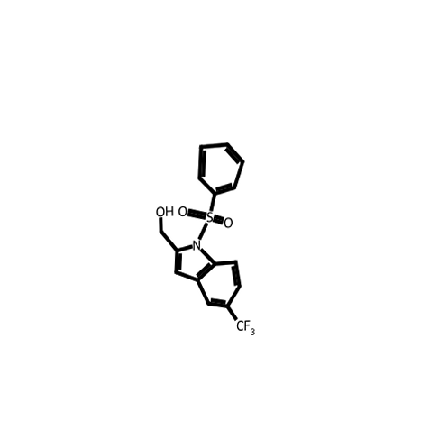 O=S(=O)(c1ccccc1)n1c(CO)cc2cc(C(F)(F)F)ccc21